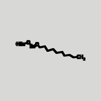 CCCCCCCCCC[O][Sn][O][SnH]